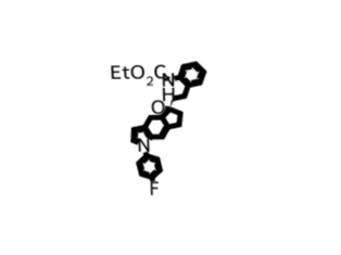 CCOC(=O)Nc1ccccc1CC[C@]12CCC3=Cc4c(ccn4-c4ccc(F)cc4)CC31O2